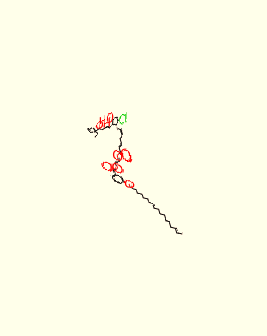 CCCCCCCCCCCCCCCCCCOc1cccc(C(=O)OCCOC(=O)CCC/C=C\C[C@@H]2[C@@H](/C=C/C[C@H](O)C3(CC)CCC3)[C@H](O)C[C@H]2Cl)c1